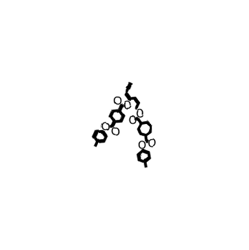 C#C/C=C(\C=C/COC(=O)C1CCCC(C(=O)Oc2ccc(C)cc2)CC1)OC(=O)C1CCC(C(=O)Oc2ccc(C)cc2)CC1